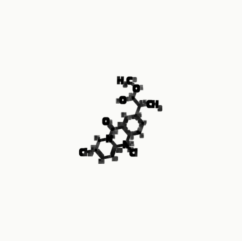 COC(=O)C(C)c1ccc2c(c1)C(=O)N1CC(Cl)=CC=C1N2Cl